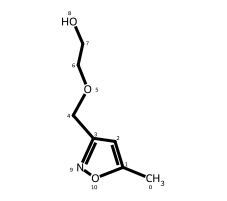 Cc1cc(COCCO)no1